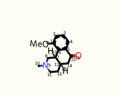 COc1cccc2c1[C@H]1CN(C)CC[C@H]1CC2=O